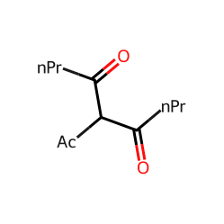 CCCC(=O)C(C(C)=O)C(=O)CCC